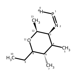 [4H]/P=N\[C@H]1C(C)[C@H](C)C(CC)O[C@H]1C